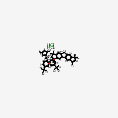 Cl.Cl.[CH2]=[Zr]([C]1=CC(C)=CC1C)([C]1=C(C)c2cc3c(cc2C1(C)C)Cc1cc2c(cc1-3)C(C)=CC2(C)C)([c]1ccc(C(C)(C)C)cc1)[c]1ccc(C(C)(C)C)cc1